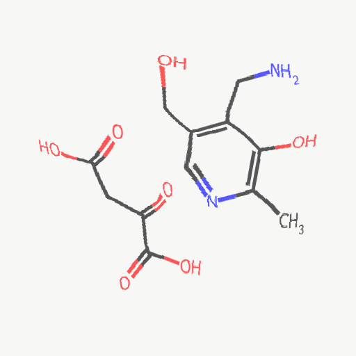 Cc1ncc(CO)c(CN)c1O.O=C(O)CC(=O)C(=O)O